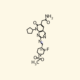 CS(=O)(=O)N1CC[C@@H](/C=N/c2ncc3cc(CC(N)=O)c(=O)n(C4CCCC4)c3n2)[C@H](F)C1